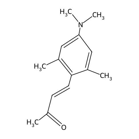 CC(=O)/C=C/c1c(C)cc(N(C)C)cc1C